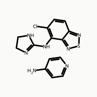 Clc1ccc2nsnc2c1NC1=NCCN1.Nc1ccncc1